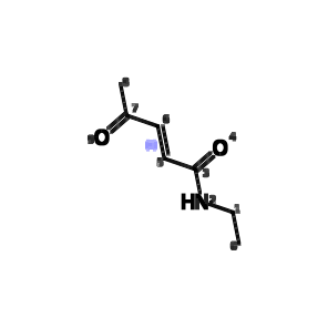 CCNC(=O)/C=C/C(C)=O